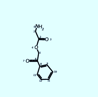 NCC(=O)OCC(=O)c1ccccc1